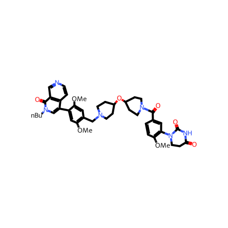 CCCCn1cc(-c2cc(OC)c(CN3CCC(OC4CCN(C(=O)c5ccc(OC)c(N6CCC(=O)NC6=O)c5)CC4)CC3)cc2OC)c2ccncc2c1=O